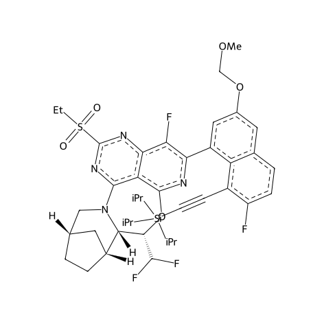 CCS(=O)(=O)c1nc2c3c(nc(-c4cc(OCOC)cc5ccc(F)c(C#C[Si](C(C)C)(C(C)C)C(C)C)c45)c(F)c3n1)O[C@H](C(F)F)[C@@H]1[C@@H]3CC[C@@H](C3)CN21